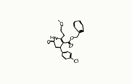 COCCC1=C(C(=O)OCc2ccccc2)C(c2ccc(Cl)cc2)CC(=O)N1